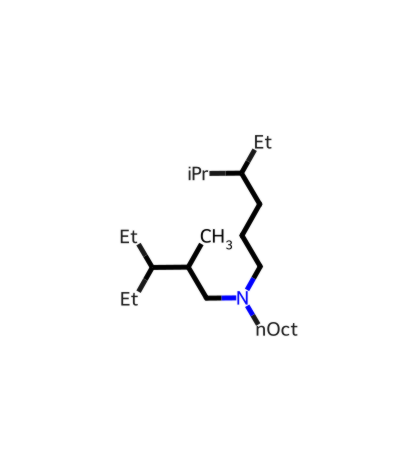 CCCCCCCCN(CCCC(CC)C(C)C)CC(C)C(CC)CC